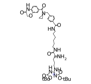 CC(C)(C)OC(=O)/N=C(\NCCC[C@H](N)C(=O)NCCCCCCNC(=O)c1ccc(CN(C(=O)c2ccc3c(c2)OCC(=O)N3)C2CC2)cc1)NC(=O)OC(C)(C)C